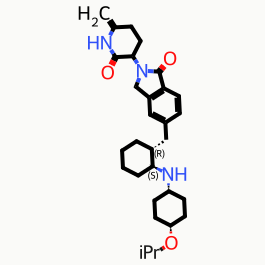 C=C1CCC(N2Cc3cc(C[C@H]4CCCC[C@@H]4N[C@H]4CC[C@@H](OC(C)C)CC4)ccc3C2=O)C(=O)N1